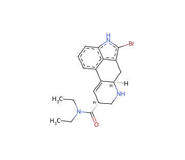 CCN(CC)C(=O)[C@@H]1C=C2c3cccc4[nH]c(Br)c(c34)C[C@H]2NC1